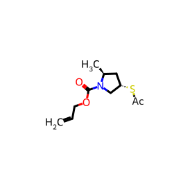 C=CCOC(=O)N1C[C@@H](SC(C)=O)C[C@@H]1C